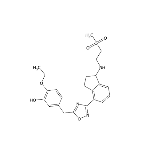 CCOc1ccc(Cc2nc(-c3cccc4c3CCC4NCCS(C)(=O)=O)no2)cc1O